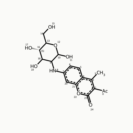 CC(=O)c1c(C)c2ccc(NC3C(O)OC(CO)[C@@H](O)C3O)cc2oc1=O